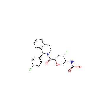 O=C(O)N[C@@H]1CO[C@@H](C(=O)N2CCc3ccccc3[C@@H]2c2ccc(F)cc2)C[C@@H]1F